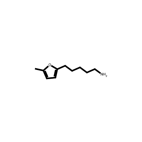 Cc1ccc(CCCCCN)o1